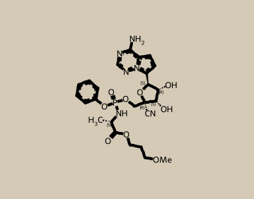 COCCCOC(=O)[C@H](C)NP(=O)(OC[C@@]1(C#N)O[C@@H](c2ccc3c(N)ncnn23)[C@H](O)[C@@H]1O)Oc1ccccc1